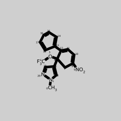 Cn1cc(C2(OC(F)(F)F)CC([N+](=O)[O-])=CC=C2c2ccccc2)cn1